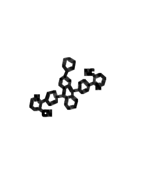 N#Cc1cccnc1-c1ccc(-c2c3ccccc3c(-c3ccc(-c4ncccc4C#N)cc3)c3cc(-c4ccccc4)ccc23)cc1